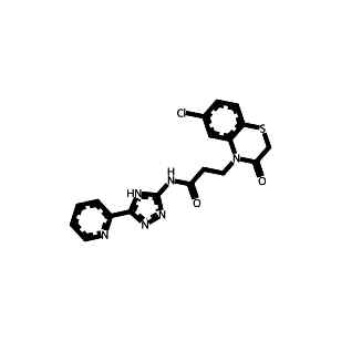 O=C(CCN1C(=O)CSc2ccc(Cl)cc21)Nc1nnc(-c2ccccn2)[nH]1